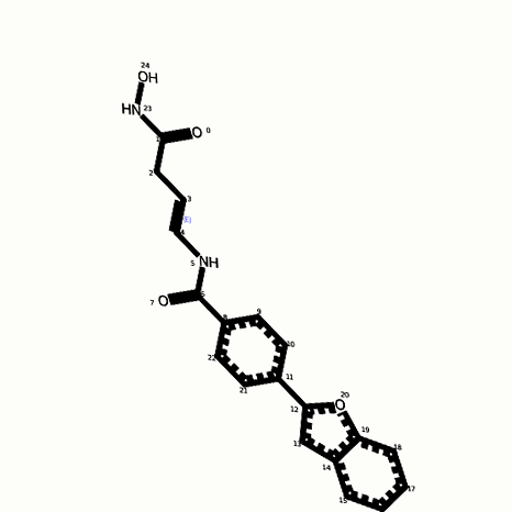 O=C(C/C=C/NC(=O)c1ccc(-c2cc3ccccc3o2)cc1)NO